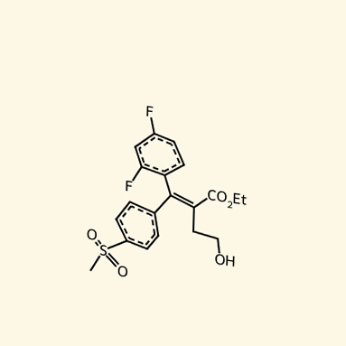 CCOC(=O)C(CCO)=C(c1ccc(S(C)(=O)=O)cc1)c1ccc(F)cc1F